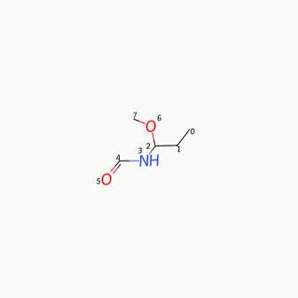 CCC(NC=O)OC